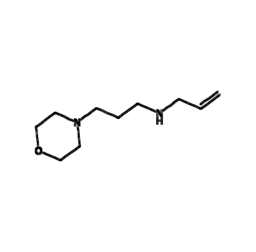 C=CCNCCCN1CCOCC1